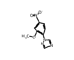 COc1cc([N+](=O)[O-])ccc1-n1cncn1